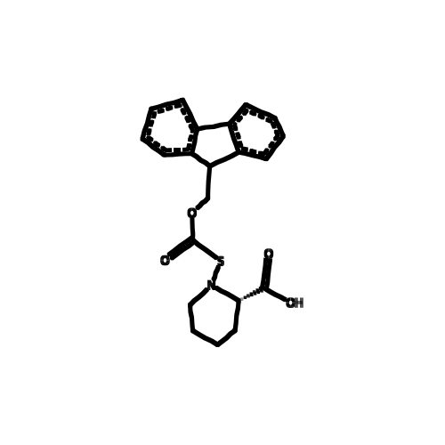 O=C(OCC1c2ccccc2-c2ccccc21)SN1CCCC[C@H]1C(=O)O